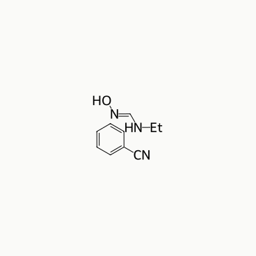 CCNC=NO.N#Cc1ccccc1